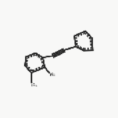 CC(C)(C)c1cccc(C#Cc2ccccc2)c1C(C)(C)C